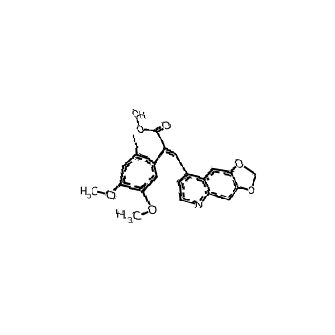 COc1cc(I)c(/C(=C\c2ccnc3cc4c(cc23)OCO4)C(=O)OO)cc1OC